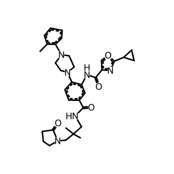 Cc1ccccc1N1CCN(c2ccc(C(=O)NCC(C)(C)CN3CCCC3=O)cc2NC(=O)c2coc(C3CC3)n2)CC1